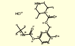 CC1CNCC(C)N1C(=O)OCc1cc(OC(=O)NC(C)(C)C)ccc1F.Cl